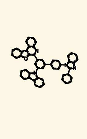 c1ccc(-c2nc3ccccc3n2-c2ccc(-c3cc(-c4nc5ccccc5c5c4oc4ccccc45)cc(-n4c5ccccc5c5ccccc54)c3)cc2)cc1